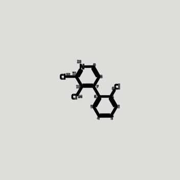 Clc1c[c]ccc1-c1ccnc(Cl)c1Cl